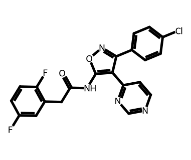 O=C(Cc1cc(F)ccc1F)Nc1onc(-c2ccc(Cl)cc2)c1-c1ccncn1